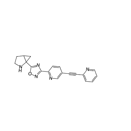 C(#Cc1ccccn1)c1ccc(-c2noc(C34CC3CCN4)n2)nc1